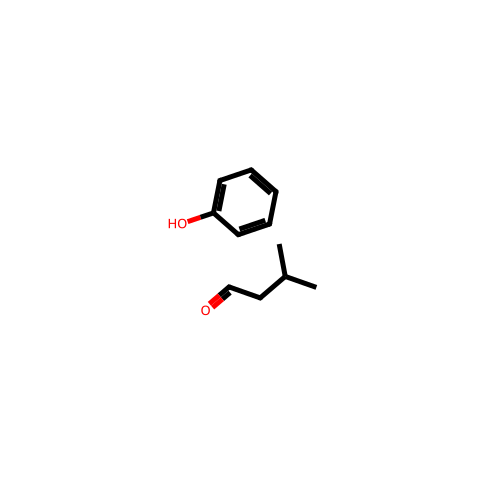 CC(C)CC=O.Oc1ccccc1